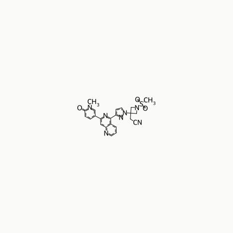 Cn1cc(-c2cc3ncccc3c(-c3ccn(C4(CC#N)CN(S(C)(=O)=O)C4)n3)n2)ccc1=O